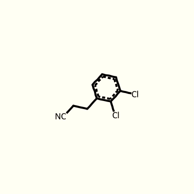 N#CCCc1cccc(Cl)c1Cl